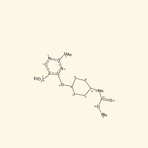 CCOC(=O)c1cnc(SC)nc1OC1CCC(NC(=O)OC(C)(C)C)CC1